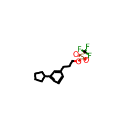 O=S(=O)(OCCCc1cccc(C2CCCC2)c1)C(F)(F)F